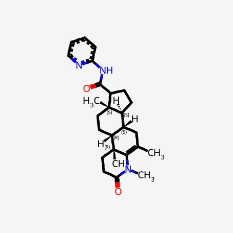 CC1=C2N(C)C(=O)CC[C@]2(C)[C@@H]2CC[C@]3(C)C(C(=O)Nc4ccccn4)CC[C@H]3[C@@H]2C1